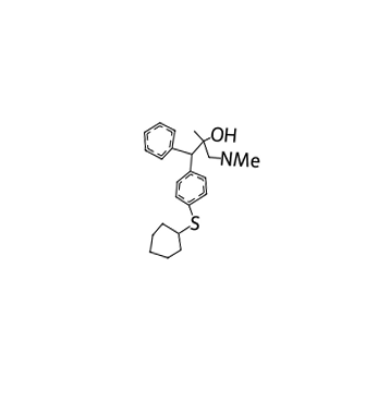 CNCC(C)(O)C(c1ccccc1)c1ccc(SC2CCCCC2)cc1